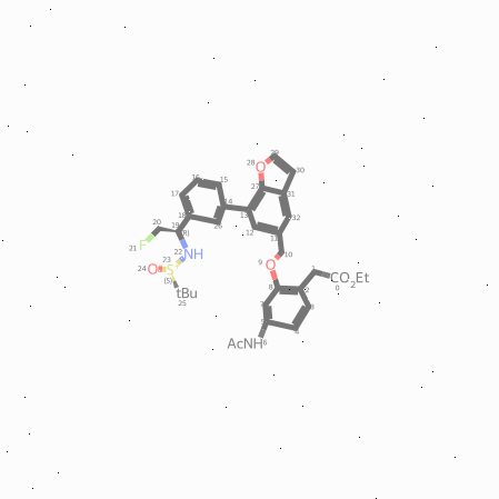 CCOC(=O)Cc1ccc(NC(C)=O)cc1OCc1cc(-c2cccc([C@H](CF)N[S@+]([O-])C(C)(C)C)c2)c2occc2c1